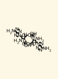 Nc1ncnc2c1ncn2[C@@H]1O[C@@H]2COP(=O)(O)OC3C(N)[C@H](n4cnc5c(N)ncnc54)O[C@@H]3COP(=O)(O)OC2C1N